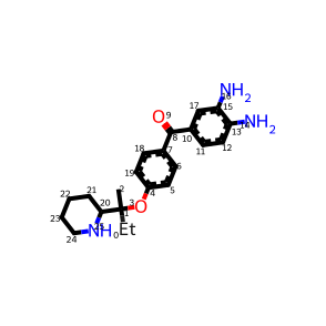 CCC(C)(Oc1ccc(C(=O)c2ccc(N)c(N)c2)cc1)C1CCCCN1